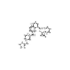 CC(CNc1cc[nH]c(=O)c1OC(=O)Nc1cccc(CN2CCCC2)c1)c1ccccc1